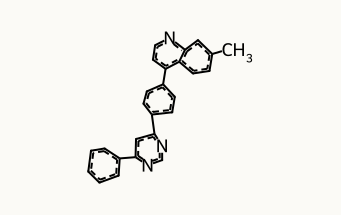 Cc1ccc2c(-c3ccc(-c4cc(-c5ccccc5)ncn4)cc3)ccnc2c1